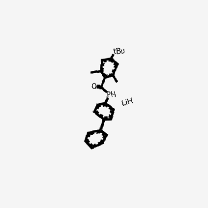 Cc1cc(C(C)(C)C)cc(C)c1C(=O)Pc1ccc(-c2ccccc2)cc1.[LiH]